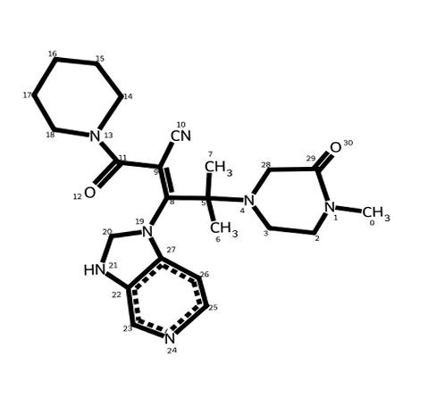 CN1CCN(C(C)(C)C(=C(C#N)C(=O)N2CCCCC2)N2CNc3cnccc32)CC1=O